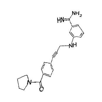 N=C(N)c1cccc(NCC#Cc2ccc(C(=O)N3CCCC3)cc2)c1